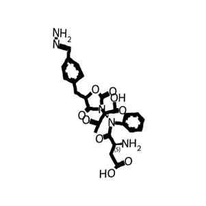 CC(=O)[C@](C(=O)O)(N1C(=O)OC(Cc2ccc(C=NN)cc2)C1=O)N(C(=O)[C@@H](N)CC(=O)O)c1ccccc1